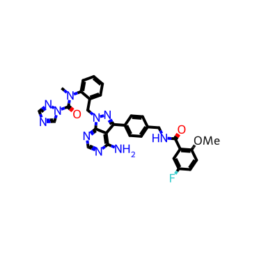 COc1ccc(F)cc1C(=O)NCc1ccc(-c2nn(Cc3ccccc3N(C)C(=O)n3cncn3)c3ncnc(N)c23)cc1